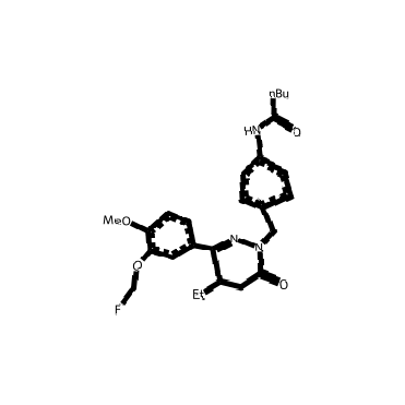 CCCCC(=O)Nc1ccc(CN2N=C(c3ccc(OC)c(OCF)c3)C(CC)CC2=O)cc1